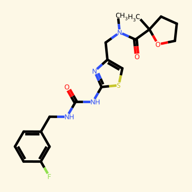 CN(Cc1csc(NC(=O)NCc2cccc(F)c2)n1)C(=O)C1(C)CCCO1